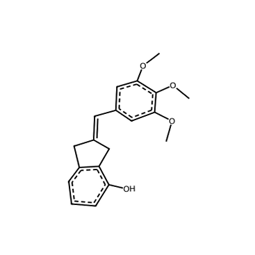 COc1cc(C=C2Cc3cccc(O)c3C2)cc(OC)c1OC